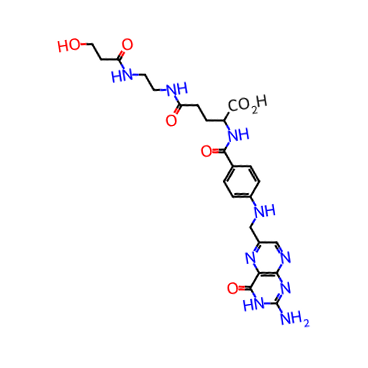 Nc1nc2ncc(CNc3ccc(C(=O)NC(CCC(=O)NCCNC(=O)CCO)C(=O)O)cc3)nc2c(=O)[nH]1